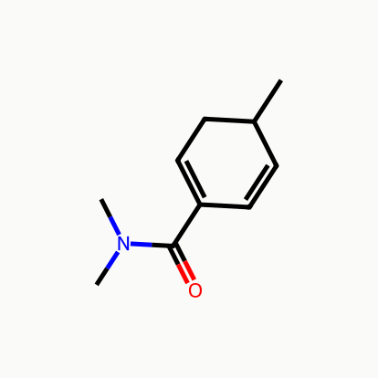 CC1C=CC(C(=O)N(C)C)=CC1